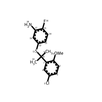 COc1ccc(Cl)cc1C(C)(C)Sc1ccc(F)c(N)c1